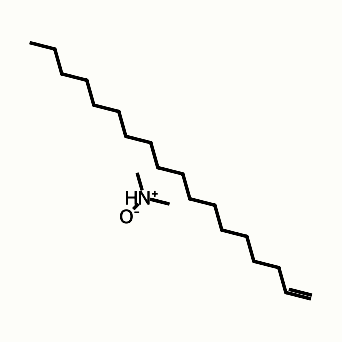 C=CCCCCCCCCCCCCCCCC.C[NH+](C)[O-]